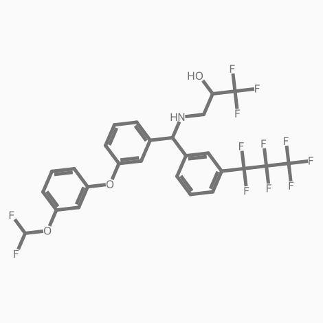 OC(CNC(c1cccc(Oc2cccc(OC(F)F)c2)c1)c1cccc(C(F)(F)C(F)(F)C(F)(F)F)c1)C(F)(F)F